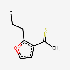 CCCc1occc1C(C)=S